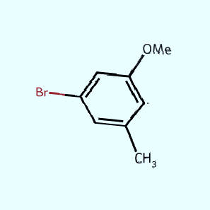 COc1[c]c(C)cc(Br)c1